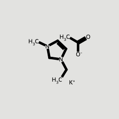 CC(=O)[O-].CCN1C=CN(C)C1.[K+]